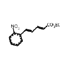 CCOC(=O)/C=C/C=C/c1ccccc1[N+](=O)[O-]